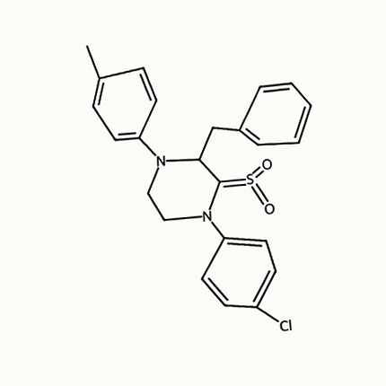 Cc1ccc(N2CCN(c3ccc(Cl)cc3)C(=S(=O)=O)C2Cc2ccccc2)cc1